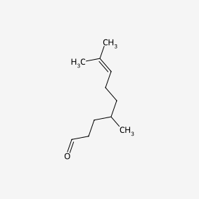 CC(C)=CCCC(C)CCC=O